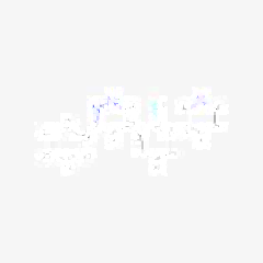 Fc1c(-c2cccnc2)cccc1-c1cnnc(-c2ccccc2)c1